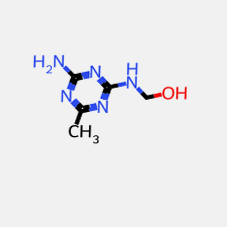 Cc1nc(N)nc(NCO)n1